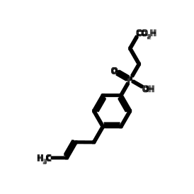 CC=CCc1ccc(P(=O)(O)CCC(=O)O)cc1